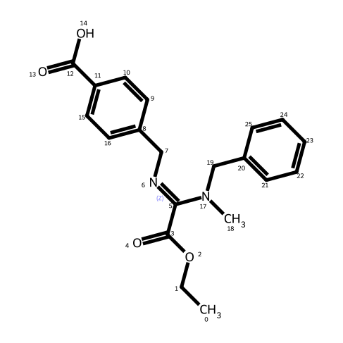 CCOC(=O)/C(=N/Cc1ccc(C(=O)O)cc1)N(C)Cc1ccccc1